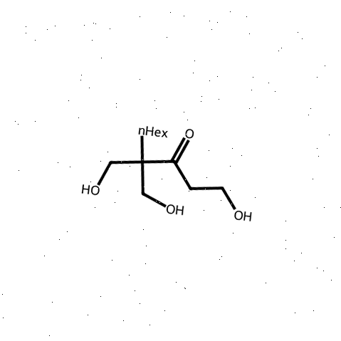 CCCCCCC(CO)(CO)C(=O)CCO